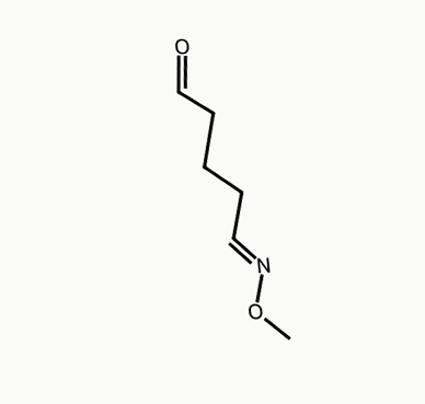 CON=CCCCC=O